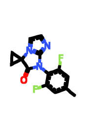 Cc1cc(F)c(N2C(=O)C3(CC3)n3ccnc32)c(F)c1